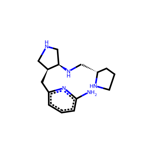 Nc1cccc(C[C@H]2CNC[C@H]2NC[C@@H]2CCCN2)n1